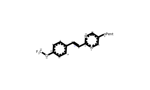 CCCCCc1cnc(/C=C/c2ccc(OC(F)(F)F)cc2)nc1